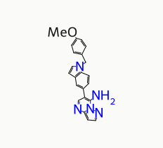 COc1ccc(Cn2ccc3cc(-c4cnc5ccnn5c4N)ccc32)cc1